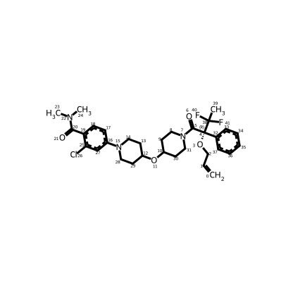 C=CCO[C@@](C(=O)N1CCC(OC2CCN(c3ccc(C(=O)N(C)C)c(Cl)c3)CC2)CC1)(c1ccccc1)C(C)(F)F